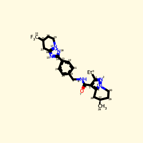 CCc1nn2c(c1C(=O)NCc1ccc(-c3nc4n(n3)CCC(C(F)(F)F)C4)cc1)C[C@H](C)CC2